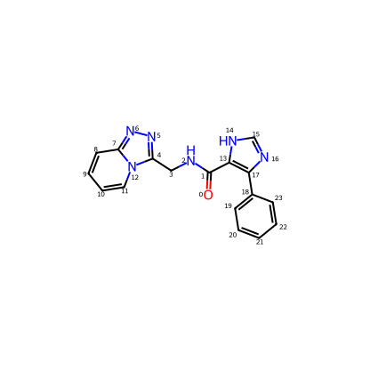 O=C(NCc1nnc2ccccn12)c1[nH]cnc1-c1ccccc1